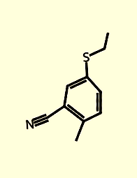 CCSc1ccc(C)c(C#N)c1